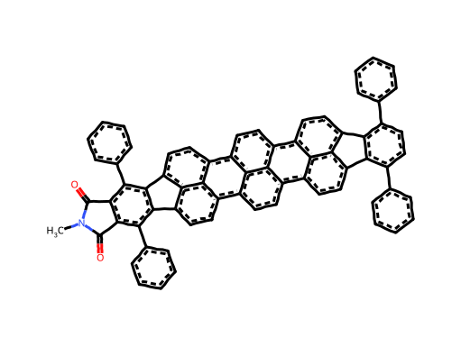 CN1C(=O)c2c(c(-c3ccccc3)c3c(c2-c2ccccc2)-c2ccc4c5ccc6c7ccc8c9c(ccc(c%10ccc(c%11ccc-3c2c4%11)c5c6%10)c97)-c2c(-c3ccccc3)ccc(-c3ccccc3)c2-8)C1=O